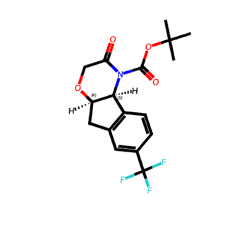 CC(C)(C)OC(=O)N1C(=O)CO[C@@H]2Cc3cc(C(F)(F)F)ccc3[C@@H]21